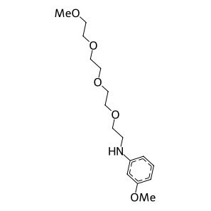 COCCOCCOCCOCCNc1cccc(OC)c1